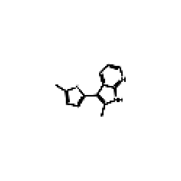 Cc1ccc(-c2c(C)[nH]c3ncccc23)s1